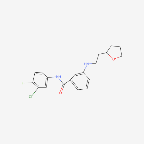 O=C(Nc1ccc(F)c(Cl)c1)c1cccc(NCCC2CCCO2)c1